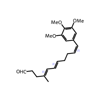 COc1cc(/C=C\CC/C=C/C=C(\C)CCC=O)cc(OC)c1OC